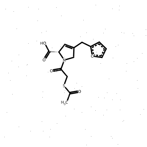 CC(=O)SCC(=O)N1CC(Cc2ccco2)=C[C@H]1C(=O)O